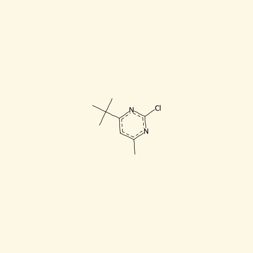 Cc1cc(C(C)(C)C)nc(Cl)n1